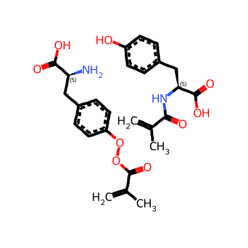 C=C(C)C(=O)N[C@@H](Cc1ccc(O)cc1)C(=O)O.C=C(C)C(=O)OOc1ccc(C[C@H](N)C(=O)O)cc1